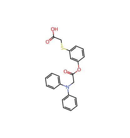 O=C(O)CSc1cccc(OC(=O)CN(c2ccccc2)c2ccccc2)c1